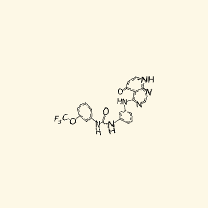 O=C(Nc1cccc(Nc2ncnc3[nH]ccc(=O)c23)c1)Nc1cccc(OC(F)(F)F)c1